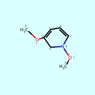 COC1=CC=CN(OC)C1